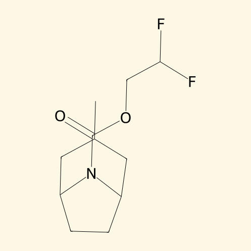 CC1CC2CCC(C1)N2C(=O)OCC(F)F